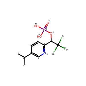 CC(C)c1ccc(C(OP(=O)(O)O)C(F)(F)F)nc1